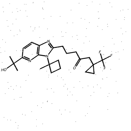 CC(C)(O)c1ccc2nc(CCCC(=O)CC3(C(F)(F)F)CC3)n(C3(C)CCC3)c2n1